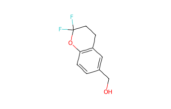 OCc1ccc2c(c1)CCC(F)(F)O2